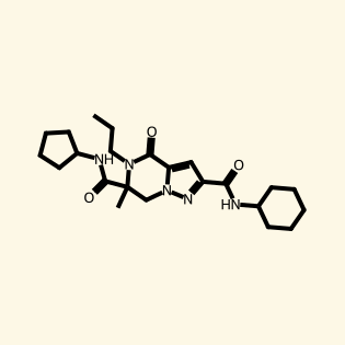 CCCN1C(=O)c2cc(C(=O)NC3CCCCC3)nn2CC1(C)C(=O)NC1CCCC1